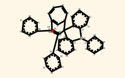 C1=CC2=CC(C=C1)C1(c3ccccc3N(c3ccccc3)c3ccccc31)c1nc(-c3ccccc3)nc(-c3ccccc3)c12